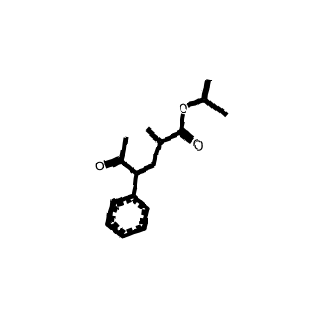 CC(=O)C(CC(C)C(=O)OC(C)C)c1ccccc1